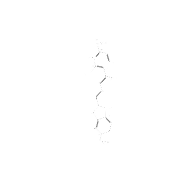 CC/C(=C\C=C\C1CC2=CC(OC)CC=C2O1)c1ccc(NC)nc1F